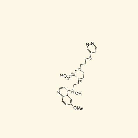 COc1ccc2nccc([C@@H](O)CC[C@@H]3CCN(CCCSc4ccnnc4)C[C@@H]3C(=O)O)c2c1